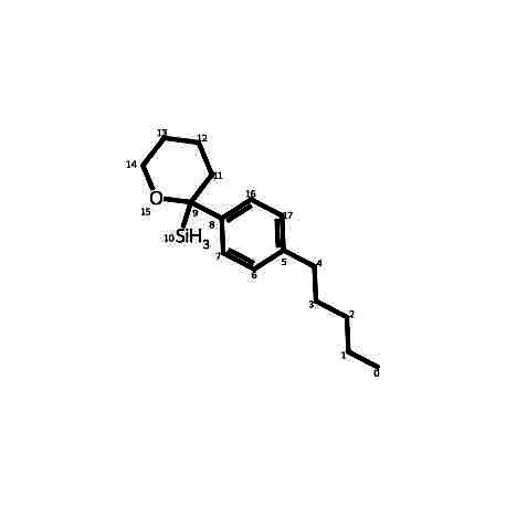 CCCCCc1ccc(C2([SiH3])CCCCO2)cc1